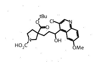 COc1ccc2ncc(Cl)c(C(O)CCC3(C(=O)OC(C)(C)C)CCN(C(=O)O)C3)c2c1